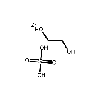 O=S(=O)(O)O.OCCO.[Zr]